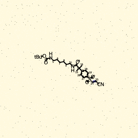 CC(C)(C)OC(=O)NCCCCCCNC(=O)C(C)(C)c1ccc(S(=O)(=O)/C=C/C#N)cc1